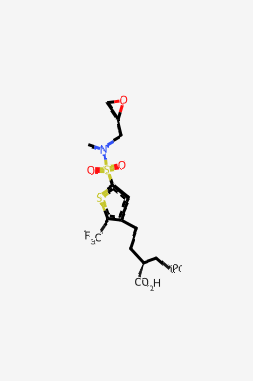 CC(C)C[C@H](CCc1cc(S(=O)(=O)N(C)CC2CO2)sc1C(F)(F)F)C(=O)O